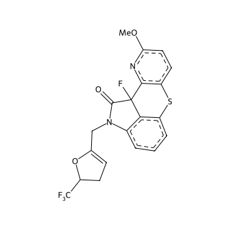 COc1ccc2c(n1)C1(F)C(=O)N(CC3=CCC(C(F)(F)F)O3)c3cccc(c31)S2